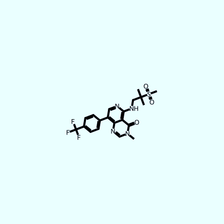 Cn1cnc2c(-c3ccc(C(F)(F)F)cc3)cnc(NCC(C)(C)S(C)(=O)=O)c2c1=O